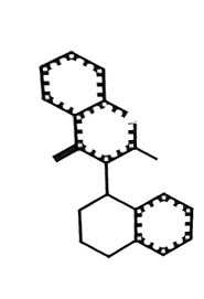 O=c1c(C2CCCc3ccccc32)c(O)oc2ccccc12